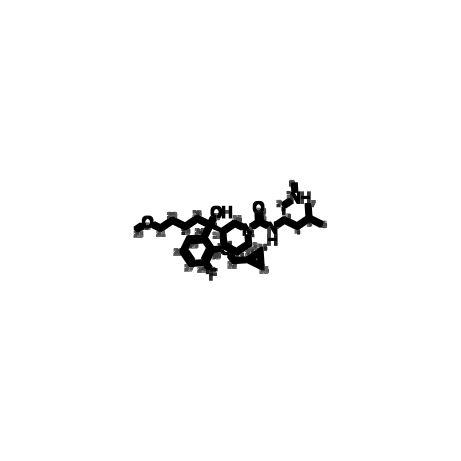 CNC[C@H](CC(C)C)NC(=O)N1CCC[C@@H](C(O)(CCCCOC)c2cccc(F)c2OCC2CC2)C1